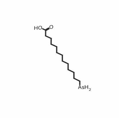 O=C(O)CCCCCCCCCCCC[AsH2]